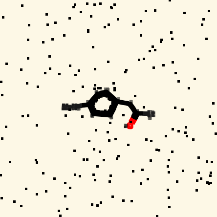 CCC(=O)Cc1ccc(NC)cc1